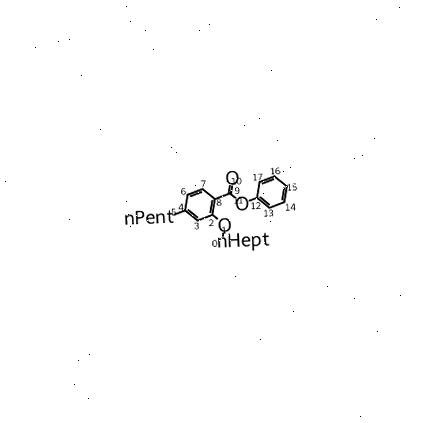 CCCCCCCOc1cc(CCCCC)ccc1C(=O)Oc1ccccc1